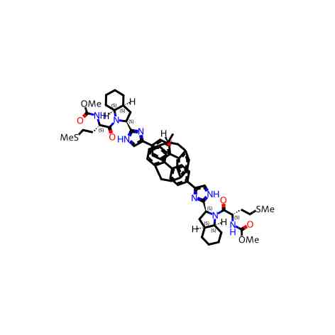 COC(=O)N[C@@H](CCSC)C(=O)N1[C@H](c2nc(-c3ccc(-c4cc5ccc4CCc4ccc(c(-c6ccc(-c7c[nH]c([C@@H]8C[C@@H]9CCCC[C@@H]9N8C(=O)[C@H](CCSC)NC(=O)OC)n7)cc6)c4)C[C@H]5C)cc3)c[nH]2)C[C@@H]2CCCC[C@@H]21